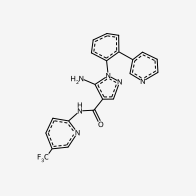 Nc1c(C(=O)Nc2ccc(C(F)(F)F)cn2)cnn1-c1ccccc1-c1cccnc1